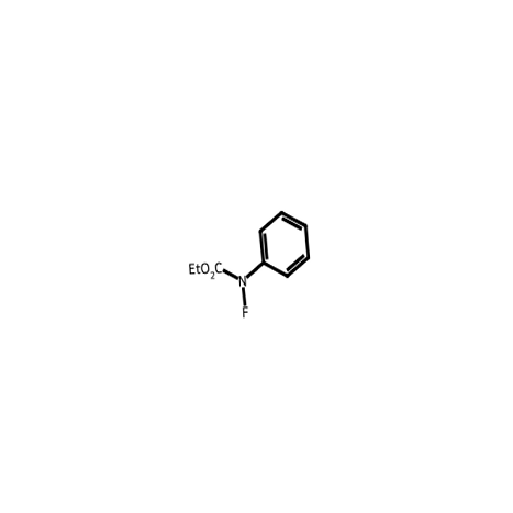 CCOC(=O)N(F)c1ccccc1